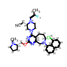 CC(F)=CN1CCN(c2nc(OC[C@@H]3CCCN3C)nc3c2CCCN(c2cccc4cccc(Cl)c24)C3)C[C@@H]1CC#N